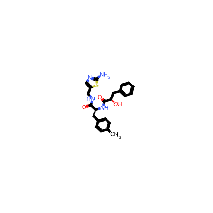 Cc1ccc(C[C@H](NC(=O)[C@H](O)Cc2ccccc2)C(=O)NCc2cnc(N)s2)cc1